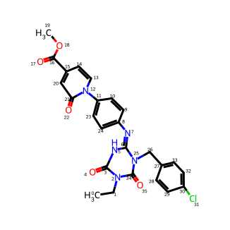 CCn1c(=O)[nH]/c(=N\c2ccc(-n3ccc(C(=O)OC)cc3=O)cc2)n(Cc2ccc(Cl)cc2)c1=O